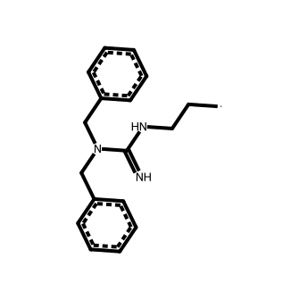 [CH2]CCNC(=N)N(Cc1ccccc1)Cc1ccccc1